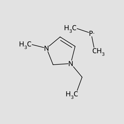 CCN1C=CN(C)C1.C[P]C